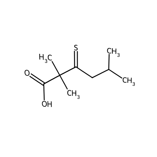 CC(C)CC(=S)C(C)(C)C(=O)O